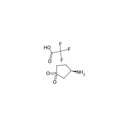 N[C@@H]1CCS(=O)(=O)C1.O=C(O)C(F)(F)F